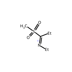 CC/N=C(\CC)S(C)(=O)=O